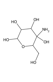 NC1(O)C(CO)OC(O)C(O)C1O